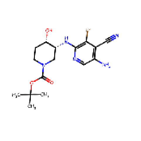 CC(C)(C)OC(=O)N1CC[C@H](O)[C@H](Nc2ncc(N)c(C#N)c2Br)C1